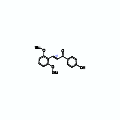 CC(C)(C)Oc1cccc(OC(C)(C)C)c1/C=C/C(=O)c1ccc(O)cc1